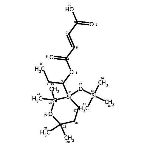 CCC(OC(=O)C=CC(=O)O)[Si]1(O[Si](C)(C)C)CCC(C)(C)O[Si]1(C)C